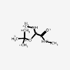 CNC(=O)C(NC)OC(C)(C)C